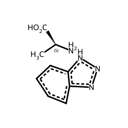 C[C@H](N)C(=O)O.c1ccc2[nH]nnc2c1